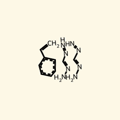 C=Cc1ccccc1.N=NC=NN.N=NC=NN